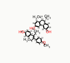 CC/C(=C(/CC)c1ccc(OC)cc1)c1ccc(O)cc1.CC[C@H](c1ccc(O)cc1)[C@@H](CC)c1ccc(O)cc1